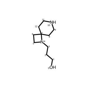 OCCCN1CCC12CCNCC2